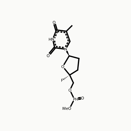 CO[PH](=O)OC[C@]1(F)CC[C@H](n2cc(C)c(=O)[nH]c2=O)O1